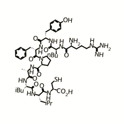 CCCC[C@H](NC(=O)[C@@H](N)CCCNC(=N)N)C(=O)N[C@@H](Cc1ccc(O)cc1)C(=O)N[C@@H](Cc1ccccc1)C(=O)N1CCC[C@H]1C(=O)N[C@@H](C)C(=O)N[C@H](C(=O)N[C@@H](CC(C)C)C(=O)N[C@@H](CS)C(=O)O)[C@@H](C)CC